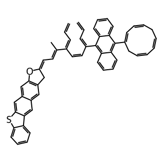 C=C/C=C(/C=C\C(=C\C=C)c1c2ccccc2c(/C2=C/C=C\C/C=C\C=C/C2)c2ccccc12)C(\C)=C\C=C1/Cc2cc3cc4c(cc3cc2O1)sc1ccccc14